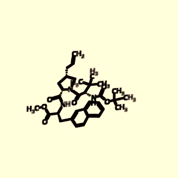 C=CC[C@H]1C[C@@H](C(=O)N[C@@H](Cc2ccc3ccccc3c2)C(=O)OC)N(C(=O)[C@@H](NC(=O)OC(C)(C)C)C(C)(C)C)C1